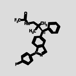 CC(C)(CNC(=O)C(F)(F)F)[C@@H](c1ccccc1)c1ccc2c(cnn2-c2ccc(F)cc2)c1